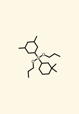 CCCO[Si](OCCC)(C1CC(C)CC(C)C1)C1CCCC(C)(C)C1